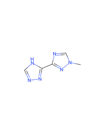 Cn1cnc(-c2nnc[nH]2)n1